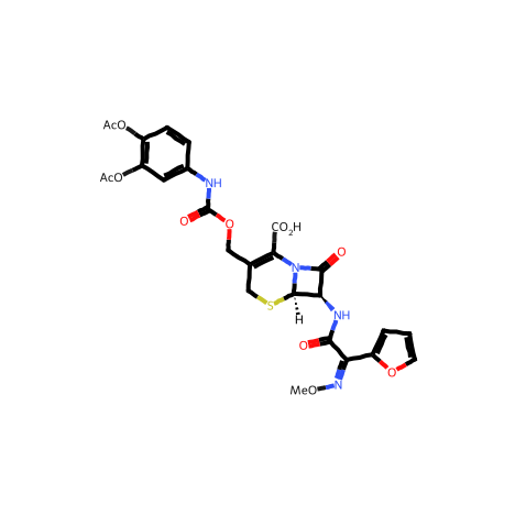 CO/N=C(\C(=O)N[C@@H]1C(=O)N2C(C(=O)O)=C(COC(=O)Nc3ccc(OC(C)=O)c(OC(C)=O)c3)CS[C@H]12)c1ccco1